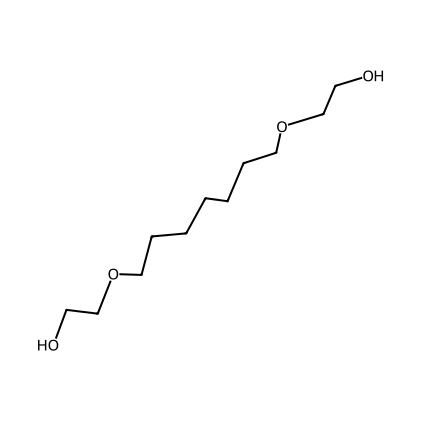 OCCOCCCCCCCOCCO